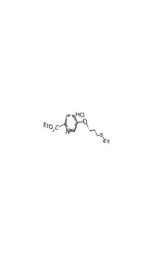 CCOC(=O)c1ccc(OCCCSCC)cn1.Cl